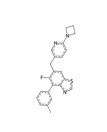 Cc1cccc(-c2c(F)c(Cc3ccc(N4CCC4)nc3)cc3scnc23)c1